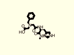 CNC(=O)[C@H](Cc1c[nH]cn1)NC(=O)CN(CC(=O)O)Cc1ccccc1